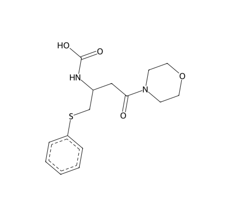 O=C(O)NC(CSc1ccccc1)CC(=O)N1CCOCC1